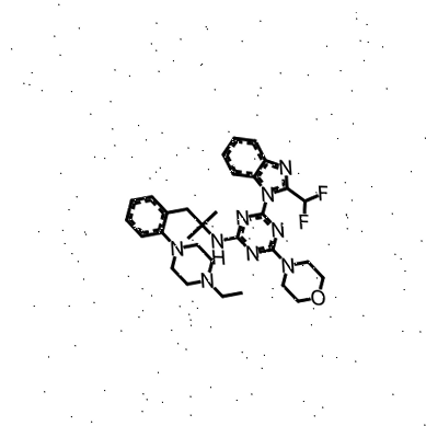 CCN1CCN(c2ccccc2CC(C)(C)Nc2nc(N3CCOCC3)nc(-n3c(C(F)F)nc4ccccc43)n2)CC1